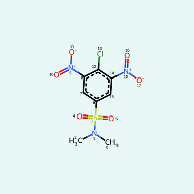 CN(C)S(=O)(=O)c1cc([N+](=O)[O-])c(Cl)c([N+](=O)[O-])c1